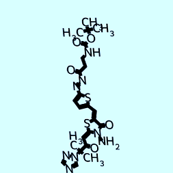 CC(C)(C)OC(=O)NCCC(=O)N=Nc1ccc(/C=c2\s/c(=C/C(=O)C(C)(C)n3cncn3)n(N)c2=O)s1